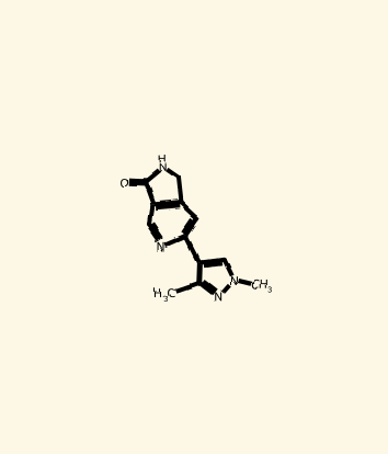 Cc1nn(C)cc1-c1cc2c(cn1)C(=O)NC2